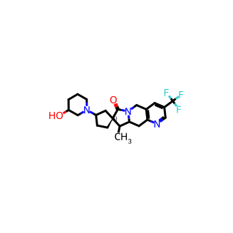 CC1C2Cc3ncc(C(F)(F)F)cc3CN2C(=O)[C@]12CCC(N1CCCC(O)C1)C2